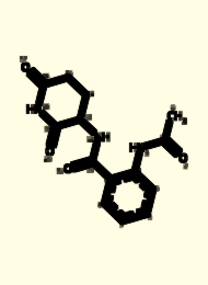 CC(=O)Nc1ccccc1C(=O)NC1CCC(=O)NC1=O